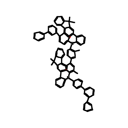 Cc1cc(-c2ccc(N(c3ccc(-c4cccc(-c5ccccc5)c4)cc3)c3ccccc3-c3ccc4c(c3)C(C)(C)c3ccccc3-4)c(C)c2)ccc1N(c1ccc(-c2cccc(-c3ccccc3)c2)cc1)c1ccccc1-c1ccc2c(c1)C(C)(C)c1ccccc1-2